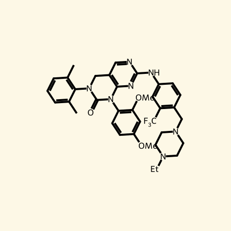 CCN1CCN(Cc2ccc(Nc3ncc4c(n3)N(c3ccc(OC)cc3OC)C(=O)N(c3c(C)cccc3C)C4)cc2C(F)(F)F)CC1